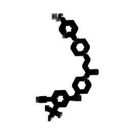 Cc1ccc(N2CCN(CCC(=O)N3CCC(Nc4ccc(C#N)c(C(F)(F)F)c4)CC3)CC2)nc1